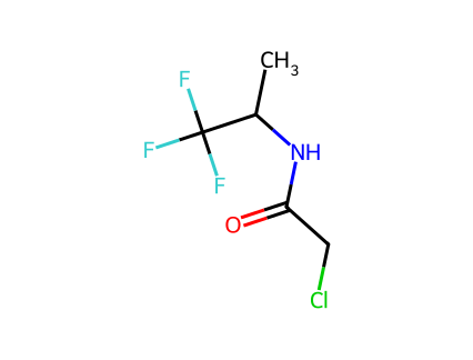 CC(NC(=O)CCl)C(F)(F)F